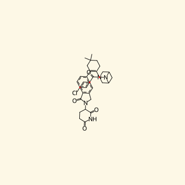 CC1(C)CCC(CN2C3CC2CN(C(=O)c2ccc4c(c2)CN(C2CCC(=O)NC2=O)C4=O)C3)=C(c2ccc(Cl)cc2)C1